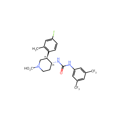 Cc1cc(F)ccc1[C@@H]1CN(C(=O)O)CC[C@H]1NC(=O)Nc1cc(C(F)(F)F)cc(C(F)(F)F)c1